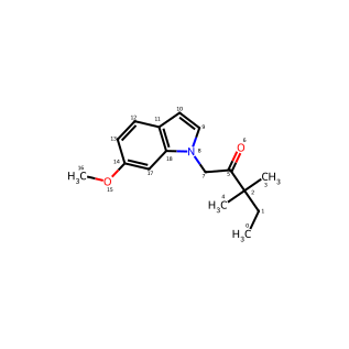 CCC(C)(C)C(=O)Cn1ccc2ccc(OC)cc21